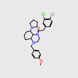 COc1ccc(CN2CCN(C(=O)Cc3ccc(Cl)c(Cl)c3)C3C(N4CCCC4)CCCC32)cc1